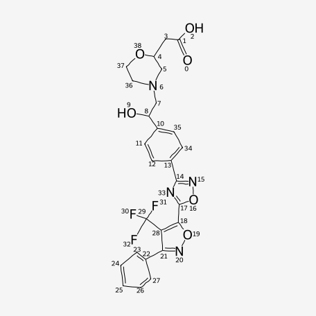 O=C(O)CC1CN(CC(O)c2ccc(-c3noc(-c4onc(-c5ccccc5)c4C(F)(F)F)n3)cc2)CCO1